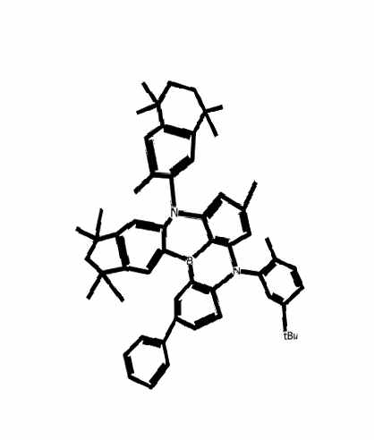 Cc1cc2c3c(c1)N(c1cc4c(cc1C)C(C)(C)CCC4(C)C)c1cc4c(cc1B3c1cc(-c3ccccc3)ccc1N2c1cc(C(C)(C)C)ccc1C)C(C)(C)CC4(C)C